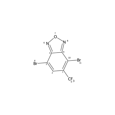 FC(F)(F)c1cc(Br)c2nonc2c1Br